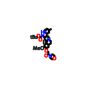 COc1cc2c(cc1OCC(=O)N1CCOCC1)CCN1C[C@H](c3cc(C)ccn3)[C@H](NC(=O)OC(C)(C)C)C[C@H]21